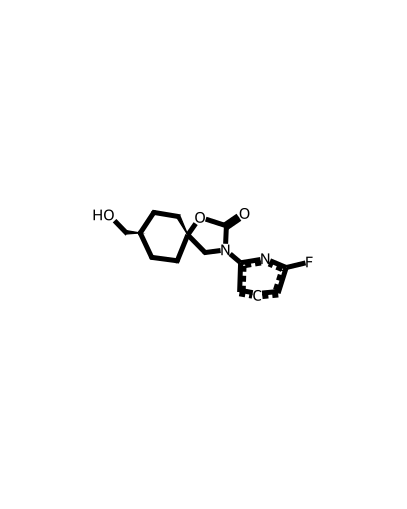 O=C1O[C@]2(CC[C@H](CO)CC2)CN1c1cccc(F)n1